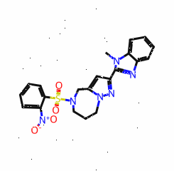 Cn1c(-c2cc3n(n2)CCCN(S(=O)(=O)c2ccccc2[N+](=O)[O-])C3)nc2ccccc21